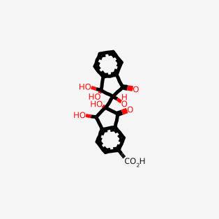 O=C(O)c1ccc2c(c1)C(=O)C(O)(C1(O)C(=O)c3ccccc3C1(O)O)C2O